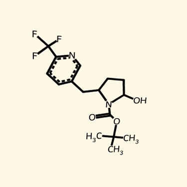 CC(C)(C)OC(=O)N1C(O)CCC1Cc1ccc(C(F)(F)F)nc1